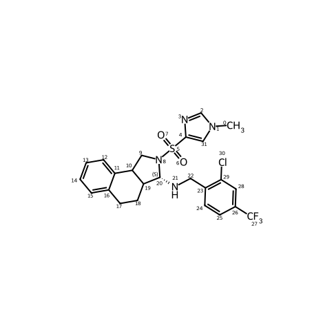 Cn1cnc(S(=O)(=O)N2CC3c4ccccc4CCC3[C@H]2NCc2ccc(C(F)(F)F)cc2Cl)c1